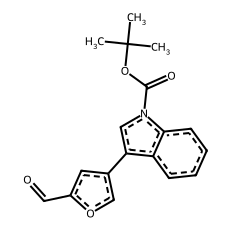 CC(C)(C)OC(=O)n1cc(-c2coc(C=O)c2)c2ccccc21